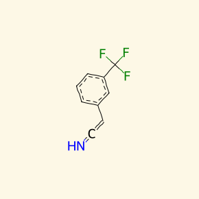 N=C=Cc1cccc(C(F)(F)F)c1